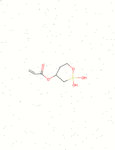 C=CC(=O)OC1CCOS(O)(O)C1